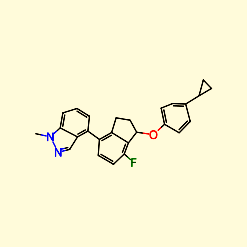 Cn1ncc2c(-c3ccc(F)c4c3CCC4Oc3ccc(C4CC4)cc3)cccc21